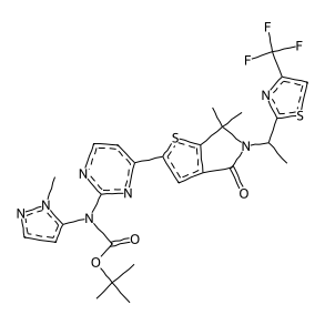 CC(c1nc(C(F)(F)F)cs1)N1C(=O)c2cc(-c3ccnc(N(C(=O)OC(C)(C)C)c4ccnn4C)n3)sc2C1(C)C